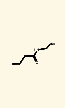 CCC(C)CNC(=O)CCCl